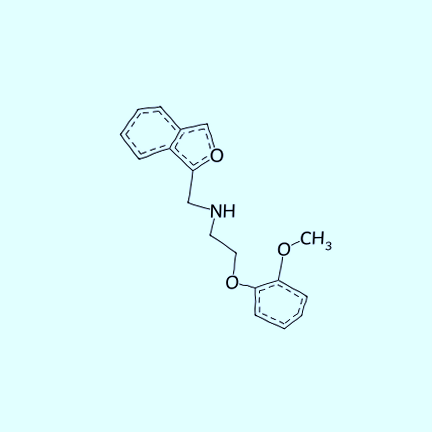 COc1ccccc1OCCNCc1occ2ccccc12